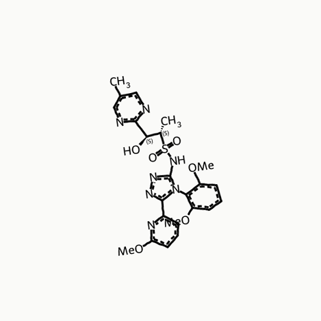 COc1cccc(-c2nnc(NS(=O)(=O)[C@@H](C)[C@@H](O)c3ncc(C)cn3)n2-c2c(OC)cccc2OC)n1